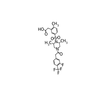 Cc1ccc(S(=O)(=O)N2C(C)CN(C(=O)Cc3ccc(C(F)(F)F)c(F)c3)CC2C)cc1CC(=O)O